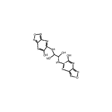 Oc1nc2nonc2nc1NC(O)C(O)Nc1nc2nonc2nc1O